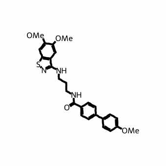 COc1ccc(-c2ccc(C(=O)NCCCNc3nsc4cc(OC)c(OC)cc34)cc2)cc1